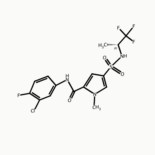 C[C@@H](NS(=O)(=O)c1cc(C(=O)Nc2ccc(F)c(Cl)c2)n(C)c1)C(F)(F)F